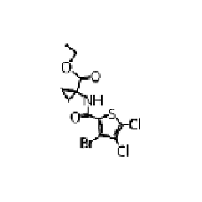 CCOC(=O)C1(NC(=O)c2sc(Cl)c(Cl)c2Br)CC1